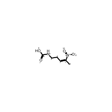 C/C(=C/CCNC(=O)O)[N+](=O)[O-]